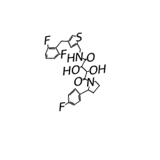 O=C(NCc1cc(Cc2c(F)cccc2F)cs1)[C@H](O)[C@@H](O)C(=O)N1CCCC1c1ccc(F)cc1